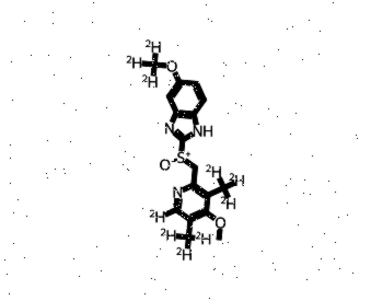 [2H]c1nc(C[S@+]([O-])c2nc3cc(OC([2H])([2H])[2H])ccc3[nH]2)c(C([2H])([2H])[2H])c(OC)c1C([2H])([2H])[2H]